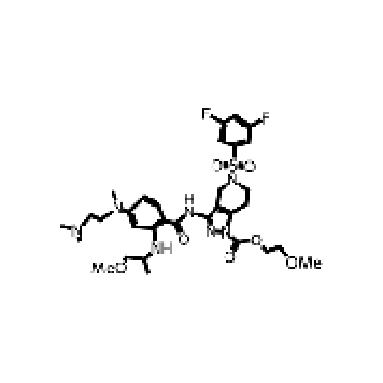 COCCOC(=O)n1nc(NC(=O)c2ccc(N(C)CCN(C)C)cc2NC(C)COC)c2c1CCN(S(=O)(=O)c1cc(F)cc(F)c1)C2